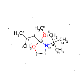 CO[Si]1(CC(C)C)OCCN1C(C)(C)C